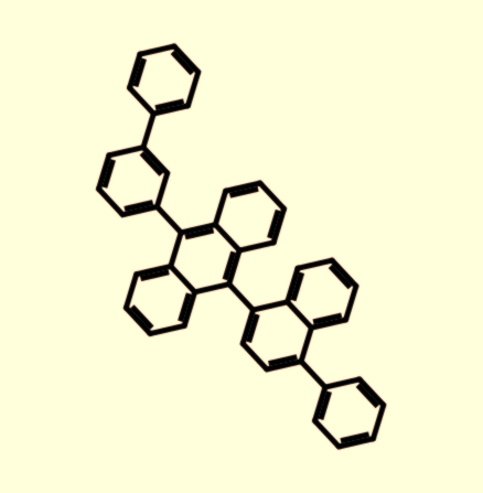 c1ccc(-c2cccc(-c3c4ccccc4c(-c4ccc(-c5ccccc5)c5ccccc45)c4ccccc34)c2)cc1